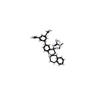 CN(C)/C(N)=N\C1(O)CC2(CCCc3ccccc3C2)Oc2ccc(-c3cc(C#N)cc(C#N)c3)cc21